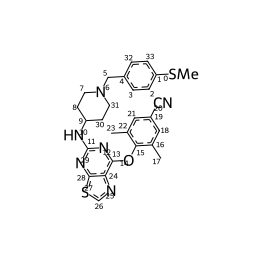 CSc1ccc(CN2CCC(Nc3nc(Oc4c(C)cc(C#N)cc4C)c4ncsc4n3)CC2)cc1